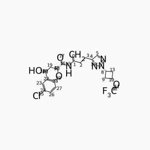 C=C(CCc1cnn([C@H]2C[C@@H](OC(F)(F)F)C2)n1)NC(=O)[C@H]1C[C@@H](O)c2cc(Cl)ccc2O1